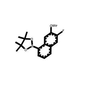 COc1cc2c(B3OC(C)(C)C(C)(C)O3)cccc2cc1F